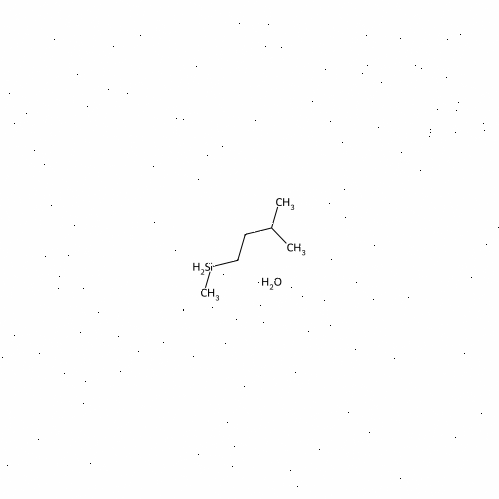 C[SiH2]CCC(C)C.O